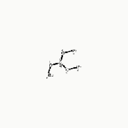 CCC(C)O[SiH](OC(C)C)OC(C)C